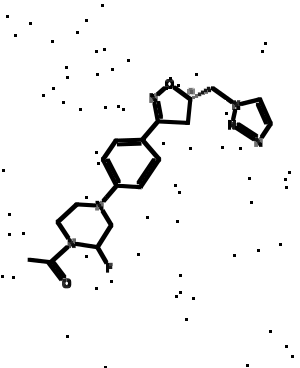 CC(=O)N1CCN(c2ccc(C3=NO[C@H](Cn4ccnn4)C3)cc2)CC1F